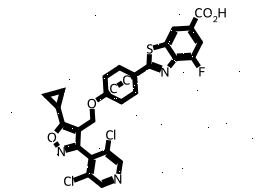 O=C(O)c1cc(F)c2nc(C34CCC(OCc5c(-c6c(Cl)cncc6Cl)noc5C5CC5)(CC3)CC4)sc2c1